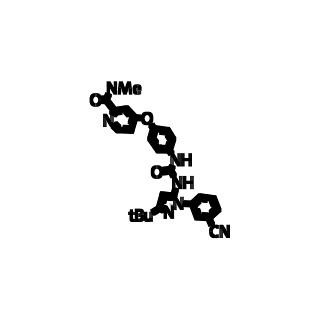 CNC(=O)c1cc(Oc2ccc(NC(=O)Nc3cc(C(C)(C)C)nn3-c3cccc(C#N)c3)cc2)ccn1